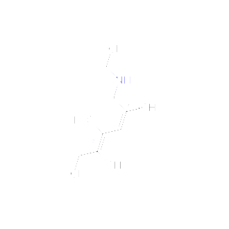 CCNC/C(C)=C\C(C)=C(/C)CC